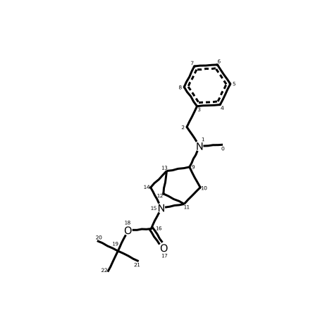 CN(Cc1ccccc1)C1CC2CC1CN2C(=O)OC(C)(C)C